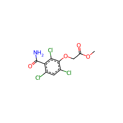 COC(=O)COc1c(Cl)cc(Cl)c(C(N)=O)c1Cl